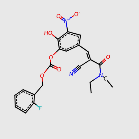 CCN(CC)C(=O)/C(C#N)=C/c1cc(OC(=O)OCc2ccccc2F)c(O)c([N+](=O)[O-])c1